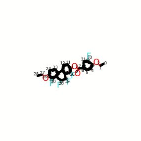 CCOc1ccc(C(=O)Oc2ccc3c(c2F)[C@@H](F)C(F)c2c-3ccc(OCC)c2F)cc1F